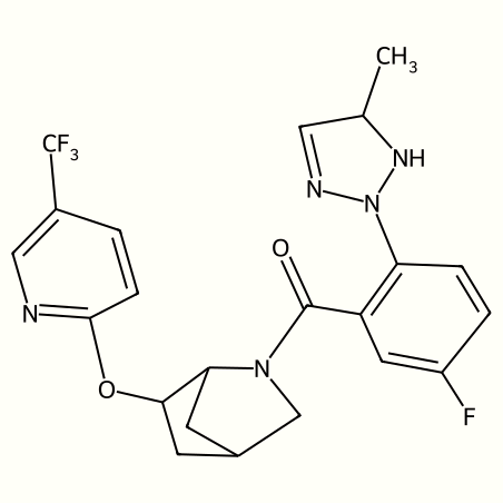 CC1C=NN(c2ccc(F)cc2C(=O)N2CC3CC(Oc4ccc(C(F)(F)F)cn4)C2C3)N1